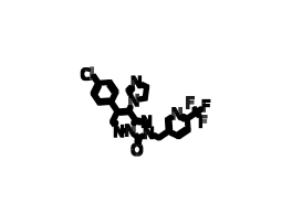 O=c1n(Cc2ccc(C(F)(F)F)nc2)nc2c(N3C=NCC3)c(-c3ccc(Cl)cc3)cnn12